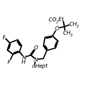 CCCCCCCN(Cc1ccc(OC(C)(C)C(=O)OCC)cc1)C(=O)Nc1ccc(F)cc1F